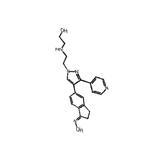 OCCNCCn1cc(-c2ccc3c(c2)CCC3=NO)c(-c2ccncc2)n1